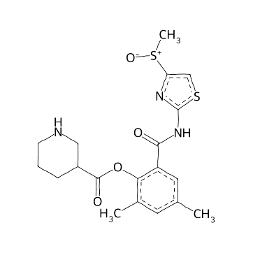 Cc1cc(C)c(OC(=O)C2CCCNC2)c(C(=O)Nc2nc([S+](C)[O-])cs2)c1